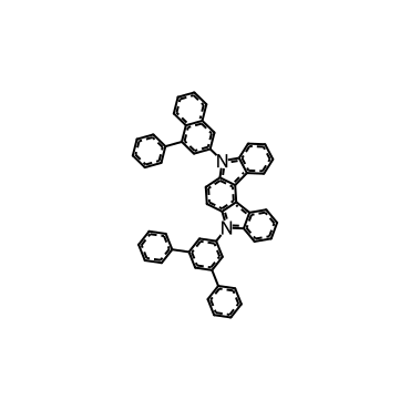 c1ccc(-c2cc(-c3ccccc3)cc(-n3c4ccccc4c4c5c6ccccc6n(-c6cc(-c7ccccc7)c7ccccc7c6)c5ccc43)c2)cc1